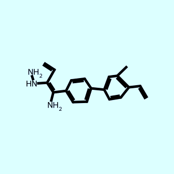 C=C/C(NN)=C(/N)c1ccc(-c2ccc(C=C)c(C)c2)cc1